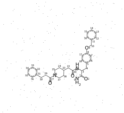 NC(=O)C(Cc1ccc(OCc2ccccc2)cc1)NC(=O)CC1CCN(C(=O)CCc2ccccc2)CC1